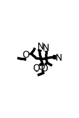 CCOC(C)CC(C#N)(C(=O)OC)C(C#N)(C#N)C(C)OCC